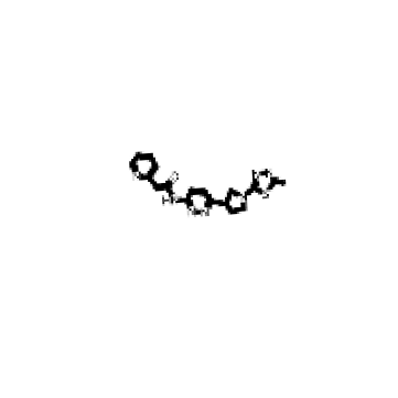 Cc1nnc(N2CCC(c3ccc(NC(=O)Cc4ccccn4)nn3)C2)s1